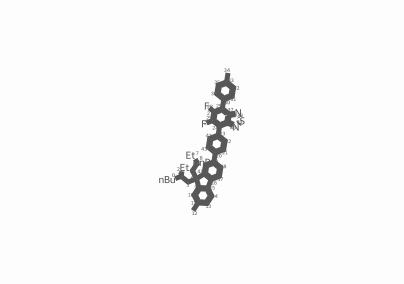 CCCCC(CC)CC1(CC(CC)CCCC)c2cc(C)ccc2-c2ccc(-c3ccc(-c4c(F)c(F)c(-c5ccc(C)cc5)c5nsnc45)cc3)cc21